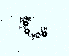 CCc1ccccc1N1CCN(C(=S)CO[C@H]2CC[C@H](Nc3ccc([N+](=O)[O-])c(C(F)(F)F)c3)CC2)CC1